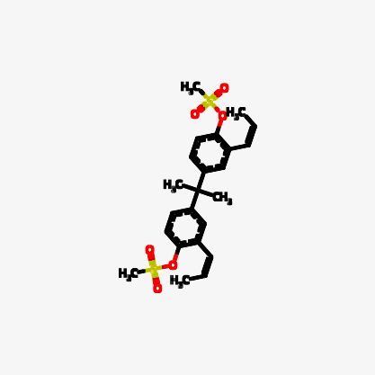 C/C=C\c1cc(C(C)(C)c2ccc(OS(C)(=O)=O)c(/C=C\C)c2)ccc1OS(C)(=O)=O